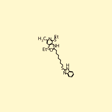 CCSc1cc(C)nc(SCC)c1NC(=O)CCCCCCCSc1nc2ccccc2[nH]1